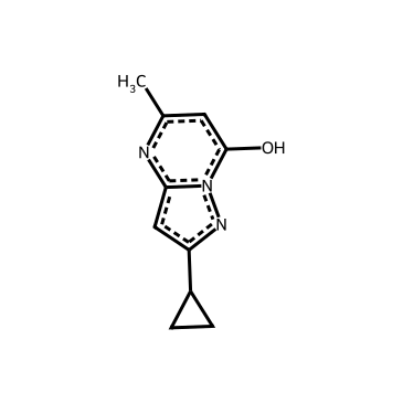 Cc1cc(O)n2nc(C3CC3)cc2n1